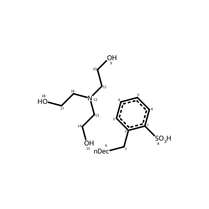 CCCCCCCCCCCc1ccccc1S(=O)(=O)O.OCCN(CCO)CCO